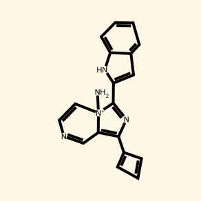 N[N+]12C=CN=CC1=C(C1=CC=C1)N=C2c1cc2ccccc2[nH]1